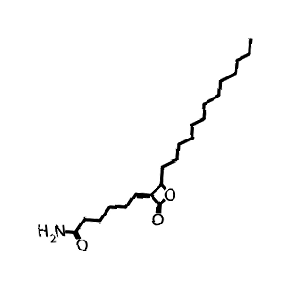 CCCCCCCCCCCCCC1OC(=O)/C1=C\CCCCC(N)=O